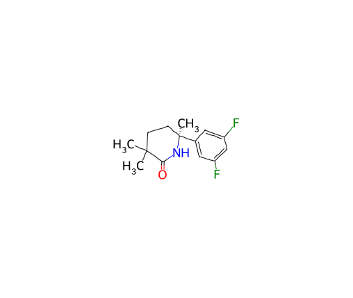 CC1(C)CC[C@@](C)(c2cc(F)cc(F)c2)NC1=O